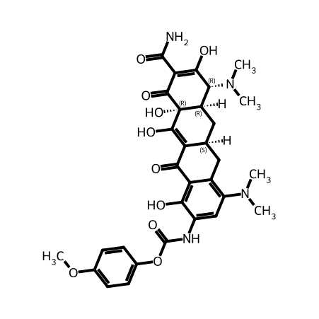 COc1ccc(OC(=O)Nc2cc(N(C)C)c3c(c2O)C(=O)C2=C(O)[C@@]4(O)C(=O)C(C(N)=O)=C(O)[C@H](N(C)C)[C@H]4C[C@H]2C3)cc1